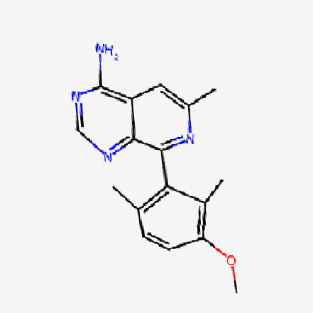 COc1ccc(C)c(-c2nc(C)cc3c(N)ncnc23)c1C